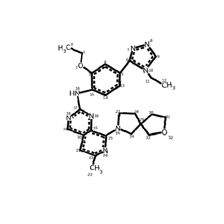 CCOc1cc(-c2nncn2CC)ccc1Nc1ncc2cc(C)nc(N3CCC4(CCOC4)C3)c2n1